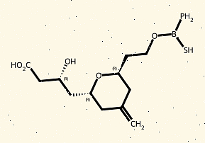 C=C1C[C@H](C[C@@H](O)CC(=O)O)O[C@@H](CCOB(P)S)C1